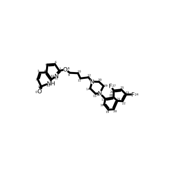 O=c1ccc2ccc(OCCCCN3CCN(c4cccc5cc(F)cc(F)c45)CC3)nc2[nH]1